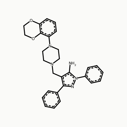 Nc1c(CN2CCN(c3cccc4c3OCCO4)CC2)c(-c2ccccc2)nn1-c1ccccc1